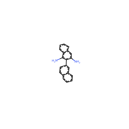 Nc1cc2ccccc2c(N)c1-c1ccc2ccccc2c1